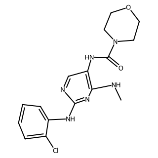 CNc1nc(Nc2ccccc2Cl)ncc1NC(=O)N1CCOCC1